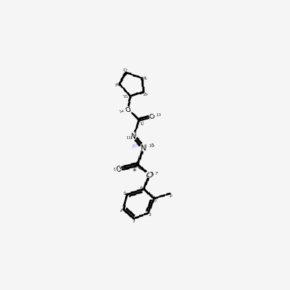 Cc1ccccc1OC(=O)/N=N/C(=O)OC1CCCC1